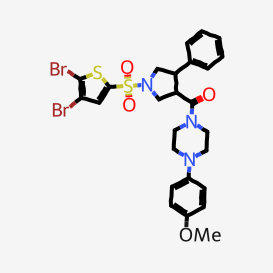 COc1ccc(N2CCN(C(=O)C3CN(S(=O)(=O)c4cc(Br)c(Br)s4)CC3c3ccccc3)CC2)cc1